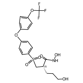 O=C(NO)[C@H](CCCO)CS(=O)(=O)c1ccc(Oc2ccc(OC(F)(F)F)cc2)cc1